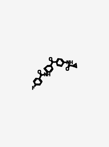 O=C(Nc1ccc(C(=O)c2ccc(NC(=O)C3CC3)cc2)cc1)c1ccc(F)cc1